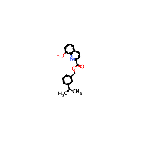 CC(C)c1cccc(COC(=O)c2ccc3cccc(O)c3n2)c1